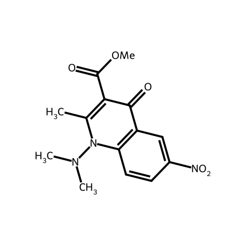 COC(=O)c1c(C)n(N(C)C)c2ccc([N+](=O)[O-])cc2c1=O